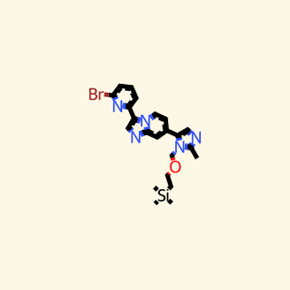 Cc1ncc(-c2ccn3c(-c4cccc(Br)n4)cnc3c2)n1COCC[Si](C)(C)C